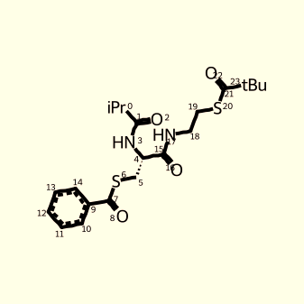 CC(C)C(=O)N[C@@H](CSC(=O)c1ccccc1)C(=O)NCCSC(=O)C(C)(C)C